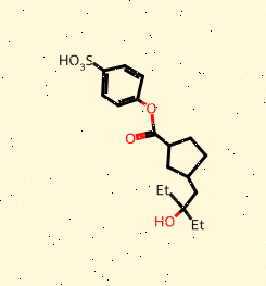 CCC(O)(CC)CC1CCC(C(=O)Oc2ccc(S(=O)(=O)O)cc2)C1